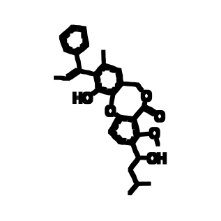 CC=C(c1ccccc1)c1c(C)cc2c(c1O)Oc1ccc(C(O)CC(C)C)c(OC)c1C(=O)OC2